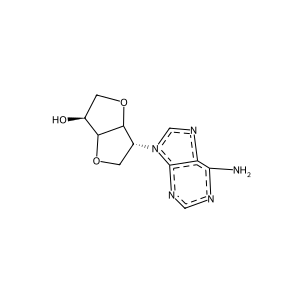 Nc1ncnc2c1ncn2[C@@H]1COC2C1OC[C@@H]2O